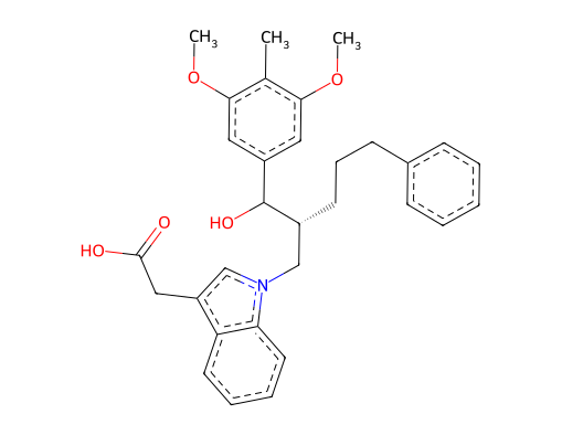 COc1cc(C(O)[C@H](CCCc2ccccc2)Cn2cc(CC(=O)O)c3ccccc32)cc(OC)c1C